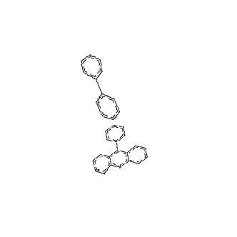 c1ccc(-c2c3ccccc3cc3ccccc23)cc1.c1ccc(-c2ccccc2)cc1